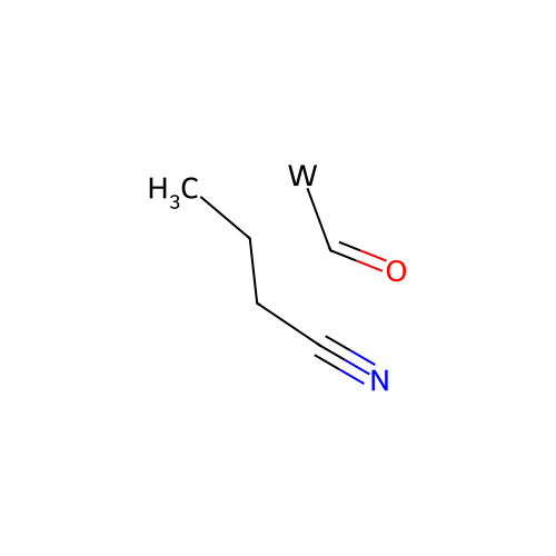 CCCC#N.O=[CH][W]